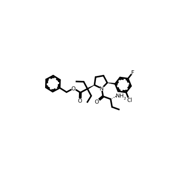 CC[C@@H](N)C(=O)N1[C@H](c2cc(F)cc(Cl)c2)CC[C@@H]1C(CC)(CC)C(=O)OCc1ccccc1